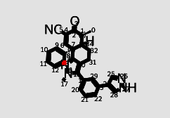 C[C@@H]1C(=O)C(C#N)=C[C@]2(c3ccccc3)c3nn(C)c(-c4cccc(-c5cn[nH]c5)c4)c3CC[C@@H]12